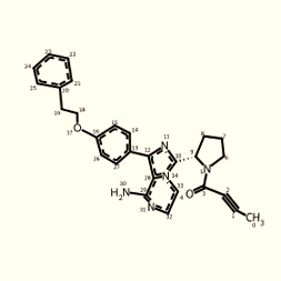 CC#CC(=O)N1CCC[C@H]1c1nc(-c2ccc(OCCc3ccccc3)cc2)c2c(N)nccn12